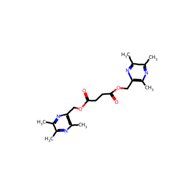 Cc1nc(C)c(COC(=O)CCC(=O)OCc2nc(C)c(C)nc2C)nc1C